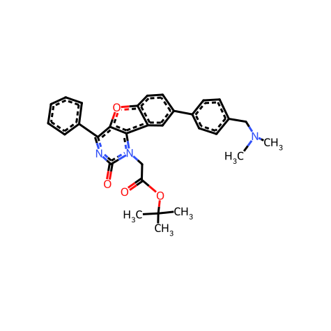 CN(C)Cc1ccc(-c2ccc3oc4c(-c5ccccc5)nc(=O)n(CC(=O)OC(C)(C)C)c4c3c2)cc1